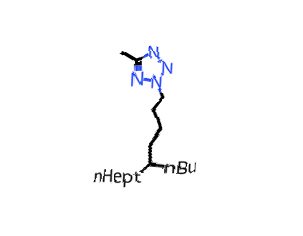 CCCCCCCC(CCCC)CCCCn1nnc(C)n1